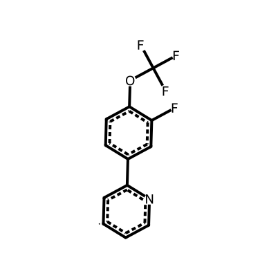 Fc1cc(-c2c[c]ccn2)ccc1OC(F)(F)F